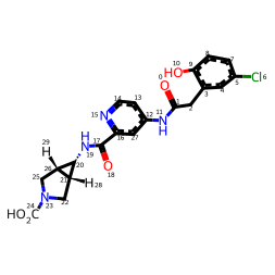 O=C(Cc1cc(Cl)ccc1O)Nc1ccnc(C(=O)N[C@@H]2[C@@H]3CN(C(=O)O)C[C@@H]32)c1